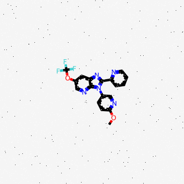 COc1ccc(-n2c(-c3ccccn3)nc3cc(OC(F)(F)F)cnc32)cn1